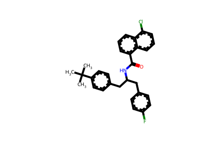 CC(C)(C)c1ccc(CC([CH]c2ccc(F)cc2)NC(=O)c2cccc3c(Cl)cccc23)cc1